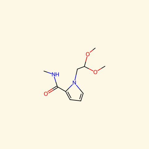 CNC(=O)c1cccn1CC(OC)OC